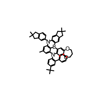 Cc1cc2c3c(c1)N(c1ccc(C(C)(C)C)cc1-c1ccccc1)c1cc4c(cc1B3c1cc3c(cc1N2c1ccc2c(c1)CC(C)(C)C2)CC(C)(C)C3)OCCCO4